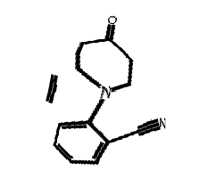 C=C.N#Cc1ccccc1N1CCC(=O)CC1